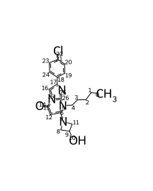 CCCCCn1c(N2CC(O)C2)cc(=O)n2cc(-c3ccc(Cl)cc3)nc12